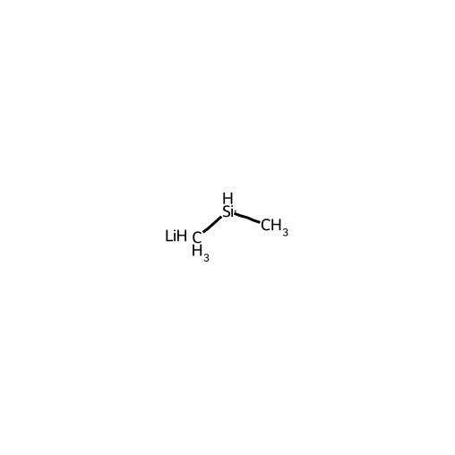 C[SiH]C.[LiH]